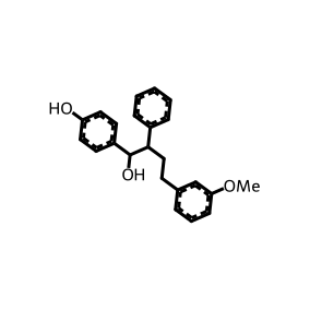 COc1cccc(CCC(c2ccccc2)C(O)c2ccc(O)cc2)c1